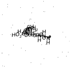 CC(C)(CN)COCC(C)(C)C(=O)NC(CCC(=O)O)C(=O)NCCOCCOCCOCCOCCNC(=O)CCCNC(=O)CCCc1c[nH]c2ccccc12